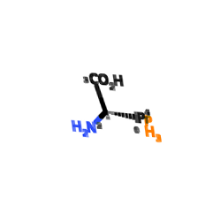 CC(C)[C@H](N)C(=O)O.P